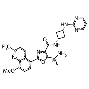 COc1ccc(-c2nc(C(=O)N[C@H]3C[C@@H](Nc4ncccn4)C3)c([C@H](C)N)o2)c2ccc(C(F)(F)F)nc12